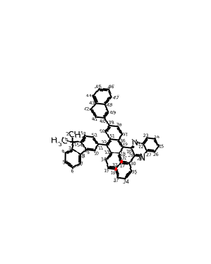 CC1(C)c2ccccc2-c2cc(-c3c4ccccc4c(-c4nc5ccccc5nc4-c4ccccc4)c4ccc(-c5ccc6ccccc6c5)cc34)ccc21